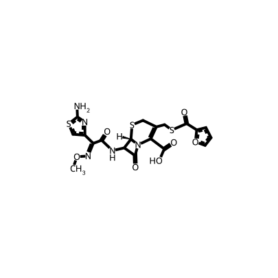 CON=C(C(=O)NC1C(=O)N2C(C(=O)O)=C(CSC(=O)c3ccco3)CS[C@@H]12)c1csc(N)n1